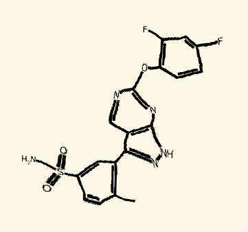 Cc1ccc(S(N)(=O)=O)cc1-c1n[nH]c2nc(Oc3ccc(F)cc3F)ncc12